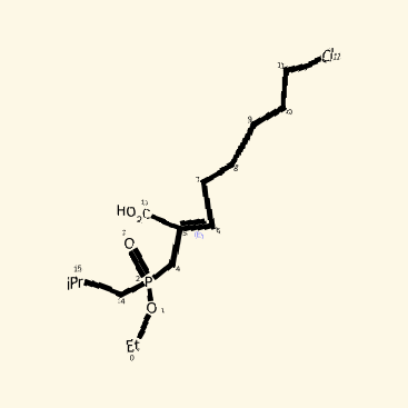 CCOP(=O)(C/C(=C/CCCCCCl)C(=O)O)CC(C)C